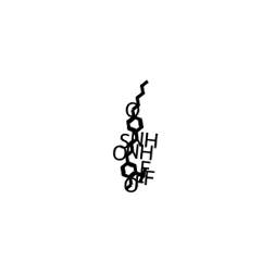 CCCCCOc1ccc(NC(=S)NC(=O)c2ccc(OC)c(C(F)(F)F)c2)cc1